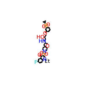 CCn1cc(S(=O)(=O)N2CCC3(CC2)CC(NCC(O)COc2cccc(S(=O)(=O)C4CC4)c2)CO3)c(=O)c2cc(F)ccc21